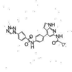 O=C(Nc1cc(-c2ccc(NS(=O)(=O)c3ccc(-n4cnnn4)cc3)cc2)c2cc[nH]c2n1)C1CC1